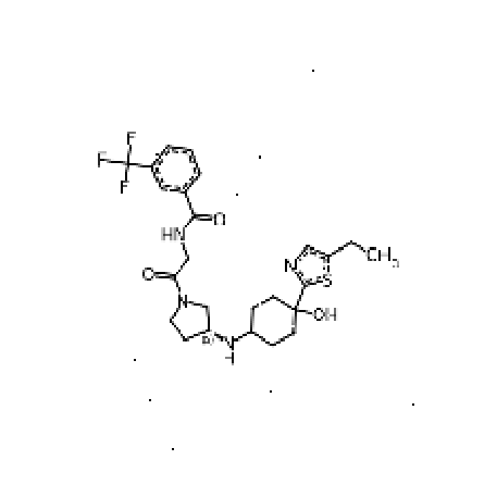 CCc1cnc(C2(O)CCC(N[C@H]3CCN(C(=O)CNC(=O)c4cccc(C(F)(F)F)c4)C3)CC2)s1